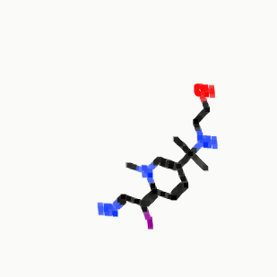 CN1C=C(C(C)(C)NCCO)C=C/C1=C(\I)C=N